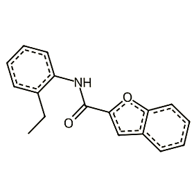 CCc1ccccc1NC(=O)c1cc2ccccc2o1